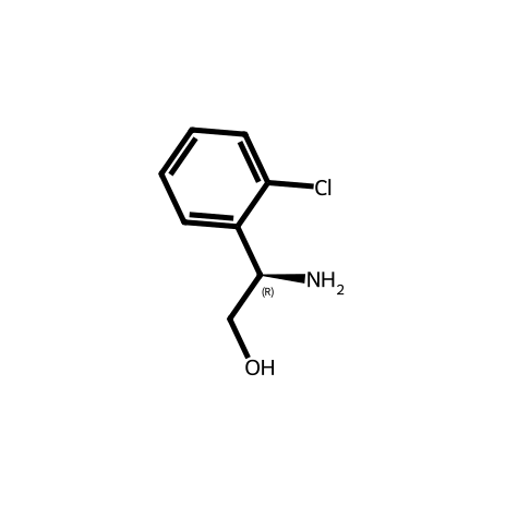 N[C@@H](CO)c1ccccc1Cl